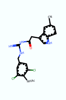 CC(=O)Nc1c(Cl)cc(CNC(=N)NC(=O)Cc2c[nH]c3ccc(C#N)cc23)cc1Cl